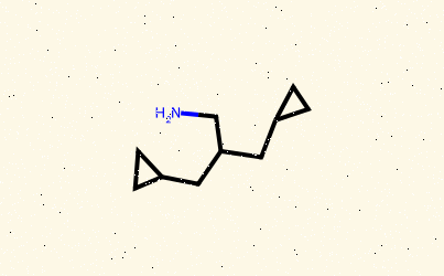 NCC(CC1CC1)CC1CC1